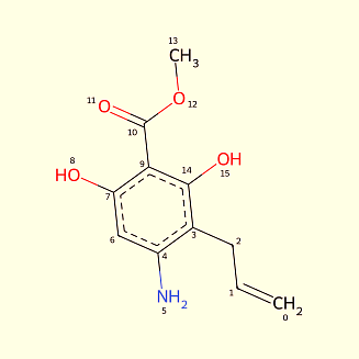 C=CCc1c(N)cc(O)c(C(=O)OC)c1O